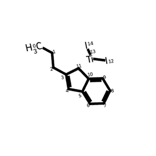 CCCC1=Cc2ccccc2[CH]1.[I][Ti][I]